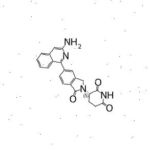 Nc1cc2ccccc2c(-c2ccc3c(c2)CN([C@H]2CCC(=O)NC2=O)C3=O)n1